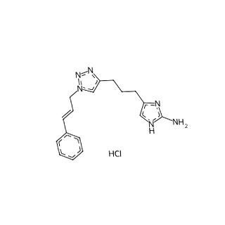 Cl.Nc1nc(CCCc2cn(CC=Cc3ccccc3)nn2)c[nH]1